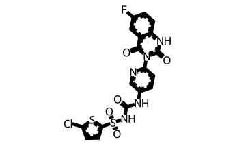 O=C(Nc1ccc(-n2c(=O)[nH]c3ccc(F)cc3c2=O)nc1)NS(=O)(=O)c1ccc(Cl)s1